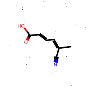 CC(C#N)=CC=CC(=O)O